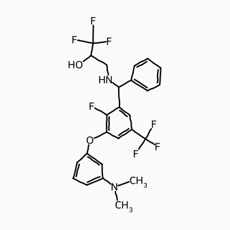 CN(C)c1cccc(Oc2cc(C(F)(F)F)cc(C(NCC(O)C(F)(F)F)c3ccccc3)c2F)c1